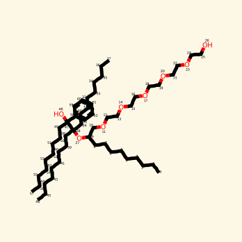 CCCCCCCCCC(COCCOCCOCCOCCOCCO)OC(CCCCCCCCC)(CCCCCCCCC)C(O)(CCCCCCCCC)c1ccccc1